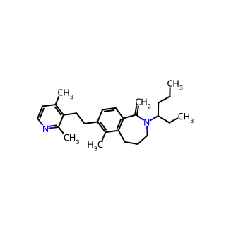 C=C1c2ccc(CCc3c(C)ccnc3C)c(C)c2CCCN1C(CC)CCC